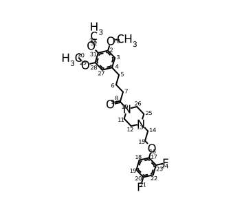 COc1cc(CCCC(=O)N2CCN(CCOc3ccc(F)cc3F)CC2)cc(OC)c1OC